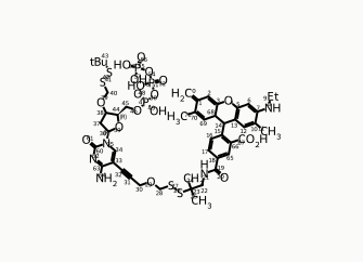 C=C1C=C2Oc3cc(NCC)c(C)cc3C(c3ccc(C(=O)NCC(C)(C)SSCOCC#Cc4cn([C@H]5CC(OCSSC(C)(C)C)[C@@H](COP(=O)(O)OP(=O)(O)OP(=O)(O)O)O5)c(=O)nc4N)cc3C(=O)O)C2C=C1C